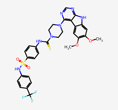 COc1cc2[nH]c3ncnc(N4CCN(C(=S)Nc5ccc(S(=O)(=O)Nc6ccc(C(F)(F)F)cc6)cc5)CC4)c3c2cc1OC